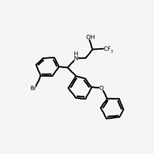 OC(CNC(c1cccc(Br)c1)c1cccc(Oc2ccccc2)c1)C(F)(F)F